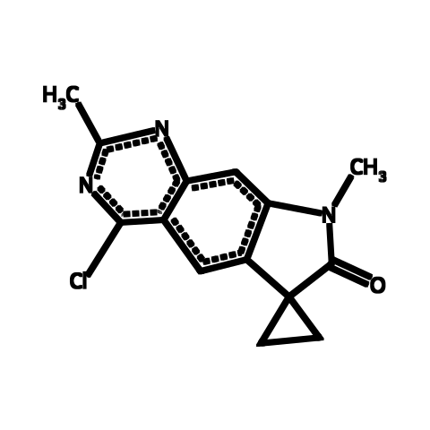 Cc1nc(Cl)c2cc3c(cc2n1)N(C)C(=O)C31CC1